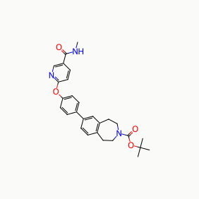 CNC(=O)c1ccc(Oc2ccc(-c3ccc4c(c3)CCN(C(=O)OC(C)(C)C)CC4)cc2)nc1